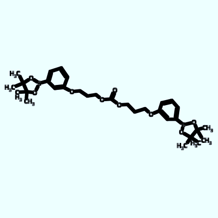 CC1(C)OB(c2cccc(OCCCOC(=O)OCCCOc3cccc(B4OC(C)(C)C(C)(C)O4)c3)c2)OC1(C)C